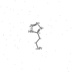 CCCCCc1nnn[nH]1